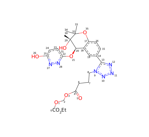 CCOC(=O)OCOC(=O)CCCn1nnnc1-c1ccc2c(c1)[C@@H](Oc1ccc(O)nn1)[C@](C)(O)C(C)(C)O2